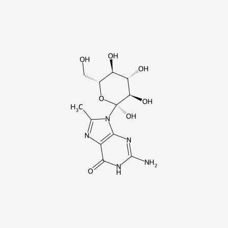 Cc1nc2c(=O)[nH]c(N)nc2n1[C@@]1(O)O[C@H](CO)[C@@H](O)[C@H](O)[C@H]1O